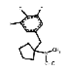 CN(C=O)C1(Cc2cc(F)c(F)c(F)c2)CCCC1